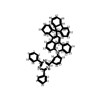 c1ccc(-c2nc(-c3ccccc3)nc(-c3cccc(N4c5ccccc5-c5cc6c(c7cccc4c57)-c4ccccc4C64c5ccccc5-c5ccccc54)c3)n2)cc1